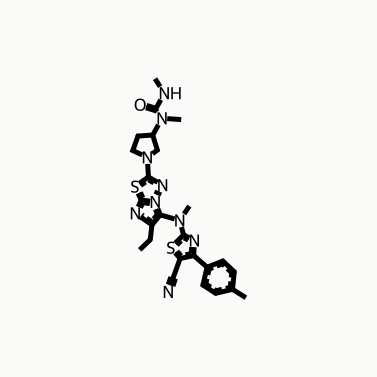 CCc1nc2sc(N3CCC(N(C)C(=O)NC)C3)nn2c1N(C)c1nc(-c2ccc(C)cc2)c(C#N)s1